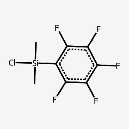 C[Si](C)(Cl)c1c(F)c(F)c(F)c(F)c1F